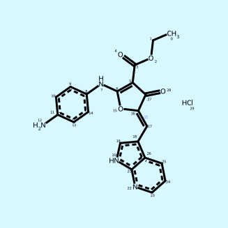 CCOC(=O)C1=C(Nc2ccc(N)cc2)O/C(=C\c2c[nH]c3ncccc23)C1=O.Cl